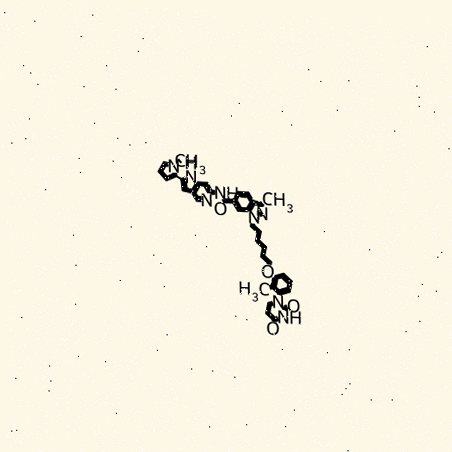 Cc1c(OCCCCCCn2nc(C)c3ccc(C(=O)Nc4cc5[nH]c([C@H]6CCCN6C)cc5cn4)cc32)cccc1N1CCC(=O)NC1=O